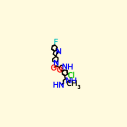 CNC(CC=N)c1cc2c(cc1Cl)NCC(C(=O)N1CCC(C#N)(Cc3ccc(F)cc3)CC1)O2